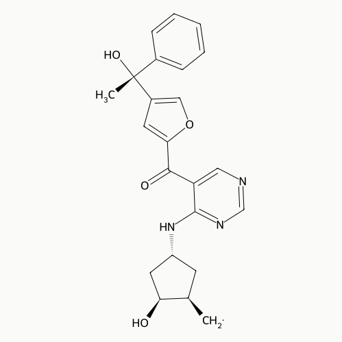 [CH2][C@@H]1C[C@@H](Nc2ncncc2C(=O)c2cc([C@](C)(O)c3ccccc3)co2)C[C@@H]1O